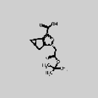 CC(C)(C)OC(=O)Cn1nc(C(=O)O)c2c1CC1CC21